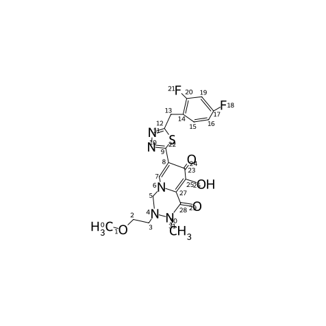 COCCN1Cn2cc(-c3nnc(Cc4ccc(F)cc4F)s3)c(=O)c(O)c2C(=O)N1C